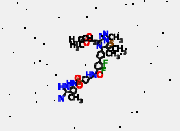 Cc1sc2c(c1C)C(c1ccc(-c3ccc(C(=O)NCc4ccc(S(=O)(=O)Nc5ccc(C)c6c(C#N)c[nH]c56)cc4)c(F)c3F)cc1)=N[C@@H](CCC(=O)OC(C)(C)C)c1nnc(C)n1-2